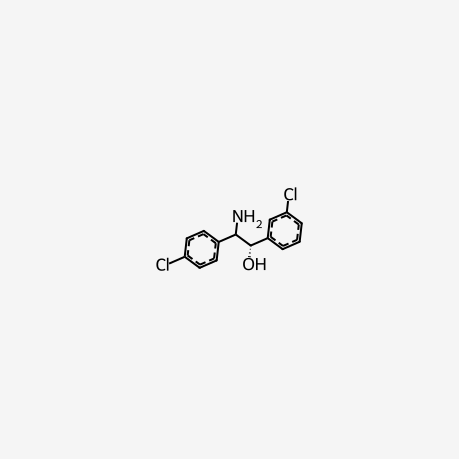 NC(c1ccc(Cl)cc1)[C@@H](O)c1cccc(Cl)c1